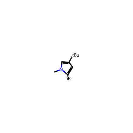 CC(C)c1cc(C(C)(C)C)cn1C